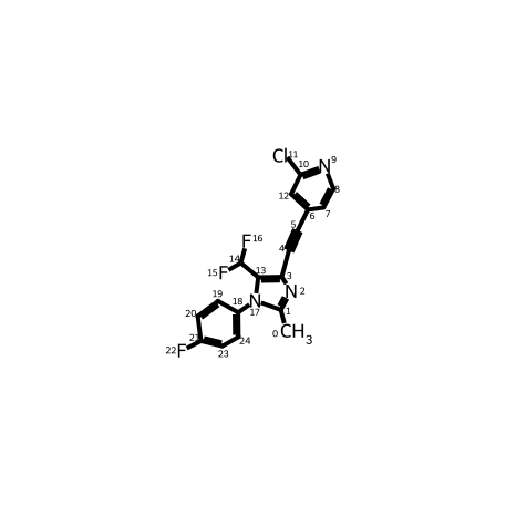 Cc1nc(C#Cc2ccnc(Cl)c2)c(C(F)F)n1-c1ccc(F)cc1